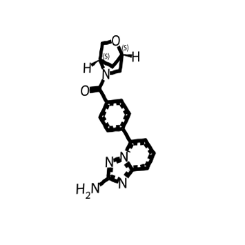 Nc1nc2cccc(-c3ccc(C(=O)N4C[C@@H]5C[C@H]4CO5)cc3)n2n1